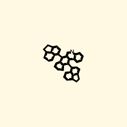 c1ccc2c(c1)ncc1c(-c3ccc4c5c(cccc35)CC4)c3ccccc3c(-c3ccc4c5c(cccc35)CC4)c12